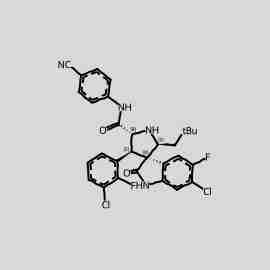 CC(C)(C)C[C@@H]1N[C@@H](C(=O)Nc2ccc(C#N)cc2)[C@H](c2cccc(Cl)c2F)[C@]12C(=O)Nc1cc(Cl)c(F)cc12